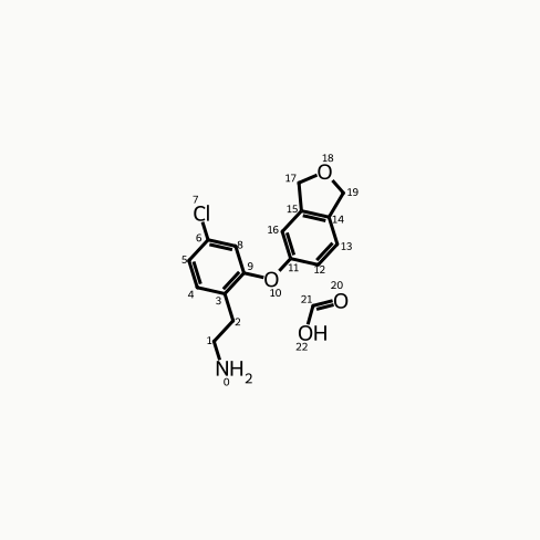 NCCc1ccc(Cl)cc1Oc1ccc2c(c1)COC2.O=CO